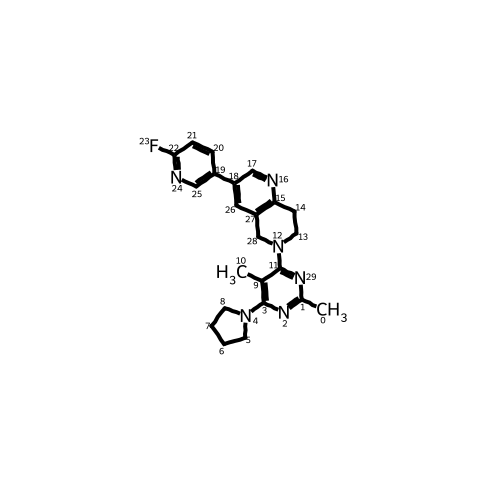 Cc1nc(N2CCCC2)c(C)c(N2CCc3ncc(-c4ccc(F)nc4)cc3C2)n1